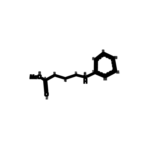 COC(=O)CCCNc1ccccc1